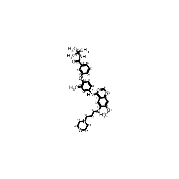 COc1cc2ncnc(Nc3ccc(Oc4cccc(C(=O)NC(C)(C)C)c4)c(C)c3)c2cc1OCCCN1CCOCC1